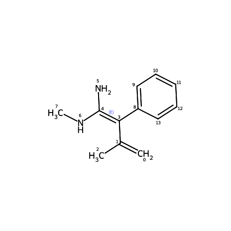 C=C(C)/C(=C(/N)NC)c1ccccc1